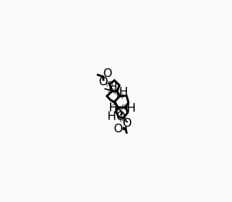 CC(=O)O[C@H]1CC[C@@]2(CO)[C@@H](CC[C@H]3[C@@H]4CC[C@H](OC(C)=O)[C@@]4(C)CC[C@@H]32)C1